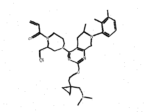 C=CC(=O)N1CCN(c2nc(OCC3(CN(C)C)CC3)nc3c2CC(C)N(c2cccc(C)c2C)C3)CC1CC#N